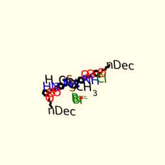 CCCCCCCCCCCCCCOc1ccc(OCC(=O)Nc2ccc(Cn3c(C)cs[c+]3-[c+]3scc(C)n3Cc3ccc(NC(=O)COc4ccccc4OCCCCCCCCCCCCCC)cc3)cc2)cc1Cl.[Br-].[Br-]